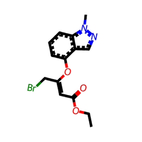 CCOC(=O)/C=C(/CBr)Oc1cccc2c1cnn2C